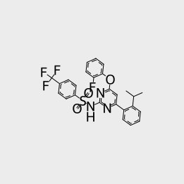 CC(C)c1ccccc1-c1cc(Oc2ccccc2F)nc(NS(=O)(=O)c2ccc(C(F)(F)F)cc2)n1